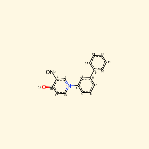 O=Nc1cn(-c2cccc(-c3ccccc3)c2)ccc1=O